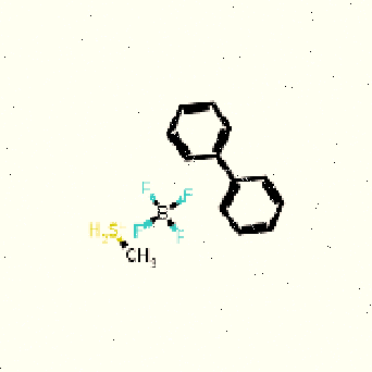 C[SH2+].F[B-](F)(F)F.c1ccc(-c2ccccc2)cc1